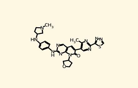 Cc1nc(-c2nncs2)ncc1-c1cc2cnc(Nc3ccc(NC4CCN(C)C4)cc3)nc2n(C2CCOC2)c1=O